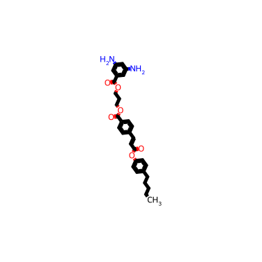 CCCCCc1ccc(OC(=O)C=Cc2ccc(C(=O)OCCCOC(=O)c3cc(N)cc(N)c3)cc2)cc1